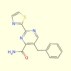 NC(=O)c1nc(-c2nccs2)ncc1Cc1ccccc1